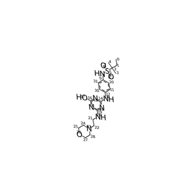 CCC(C)(C)S(=O)(=O)Nc1ccc(Nc2nc(O)nc(NCCN3CCOCC3)n2)cc1